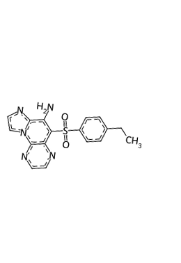 CCc1ccc(S(=O)(=O)c2c(N)c3nccn3c3nccnc23)cc1